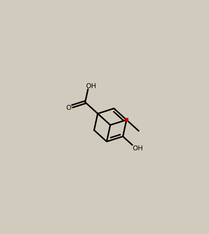 CCC1C2=C(O)C=CC1(C(=O)O)C2